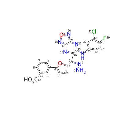 NN=C(c1ccc(-c2cccc(C(=O)O)c2)o1)c1nc2nonc2nc1Nc1ccc(F)c(Cl)c1